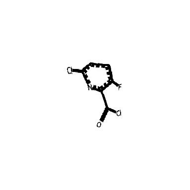 O=C(Cl)c1nc(Cl)ccc1F